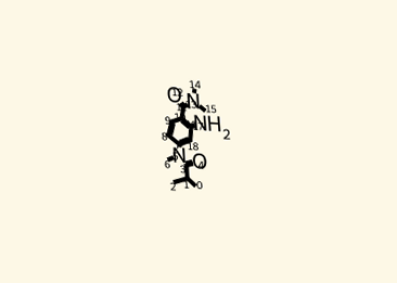 CC(C)C(=O)N(C)c1ccc(C(=O)N(C)C)c(N)c1